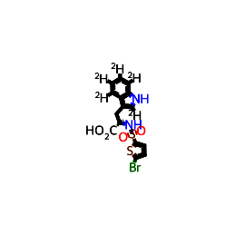 [2H]c1[nH]c2c([2H])c([2H])c([2H])c([2H])c2c1C[C@@H](NS(=O)(=O)c1ccc(Br)s1)C(=O)O